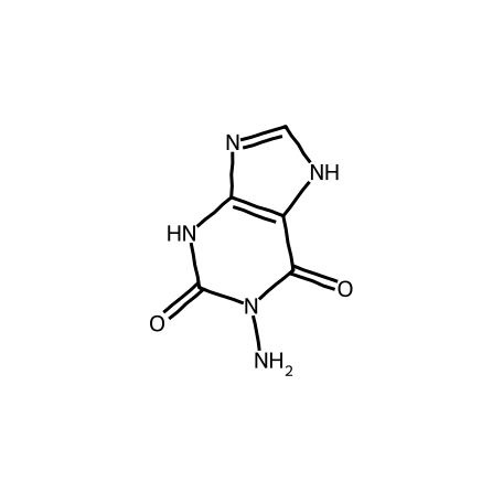 Nn1c(=O)[nH]c2nc[nH]c2c1=O